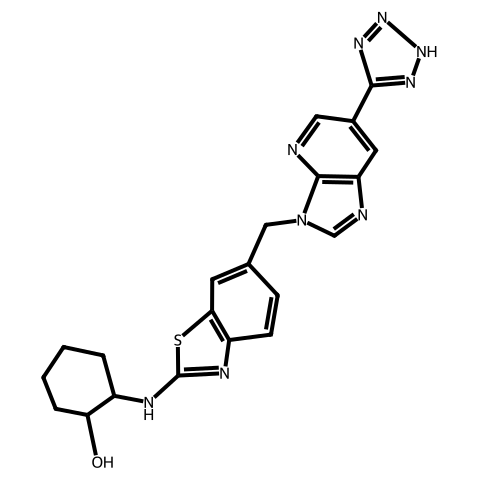 OC1CCCCC1Nc1nc2ccc(Cn3cnc4cc(-c5nn[nH]n5)cnc43)cc2s1